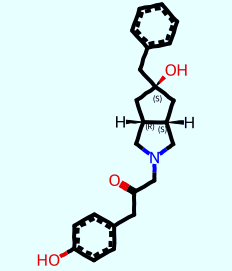 O=C(Cc1ccc(O)cc1)CN1C[C@@H]2C[C@](O)(Cc3ccccc3)C[C@@H]2C1